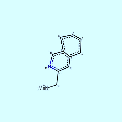 CNCc1cc2ccccc2cn1